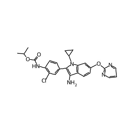 CC(C)OC(=O)Nc1ccc(-c2c(N)c3ccc(Oc4ncccn4)cc3n2C2CC2)cc1Cl